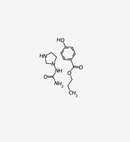 CCCOC(=O)c1ccc(O)cc1.NC(=O)NN1CCNC1